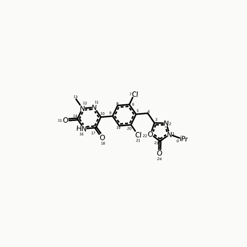 CC(C)n1nc(Cc2c(Cl)cc(-c3nn(C)c(=O)[nH]c3=O)cc2Cl)oc1=O